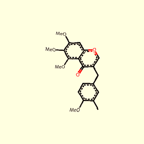 COc1ccc(Cc2coc3cc(OC)c(OC)c(OC)c3c2=O)cc1C